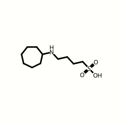 O=S(=O)(O)CCCCNC1CCCCCC1